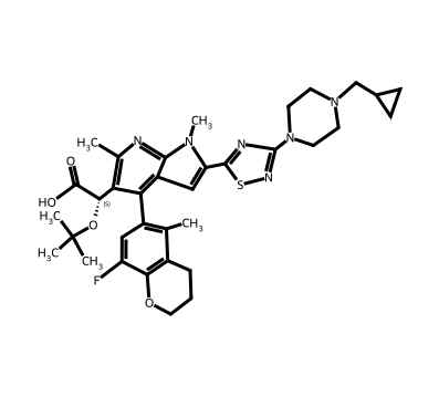 Cc1nc2c(cc(-c3nc(N4CCN(CC5CC5)CC4)ns3)n2C)c(-c2cc(F)c3c(c2C)CCCO3)c1[C@H](OC(C)(C)C)C(=O)O